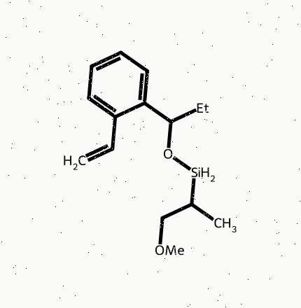 C=Cc1ccccc1C(CC)O[SiH2]C(C)COC